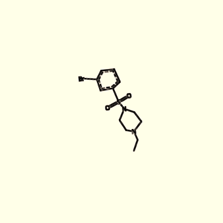 CCN1CCN(S(=O)(=O)c2cccc(Br)c2)CC1